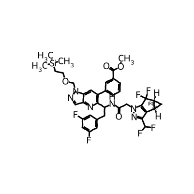 COC(=O)c1cccc(-c2cc3c(cnn3COCC[Si](C)(C)C)nc2C(Cc2cc(F)cc(F)c2)NC(=O)Cn2nc(C(F)F)c3c2C(F)(F)[C@@H]2C[C@H]32)c1